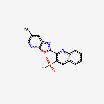 CCS(=O)(=O)c1cc2ccccc2nc1-c1nc2cc(C(F)(F)F)cnc2o1